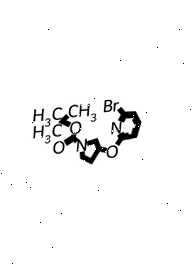 CC(C)(C)OC(=O)N1CCC(Oc2cccc(Br)n2)C1